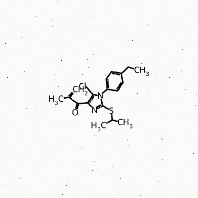 C=C(C)C(=O)c1nc(SC(C)C)n(-c2ccc(CC)cc2)c1Cl